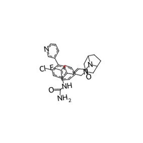 NC(=O)Nc1cc(Cl)c(-c2cccnc2)cc1C=CC(=O)N1C2CCC1CN(Cc1ccc(F)cc1)C2